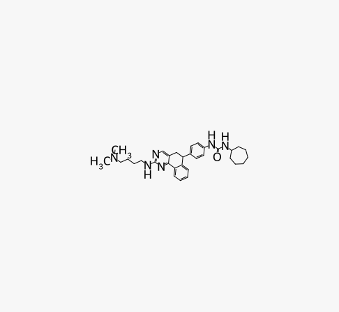 CN(C)CCCCNc1ncc2c(n1)-c1ccccc1C(c1ccc(NC(=O)NC3CCCCCC3)cc1)C2